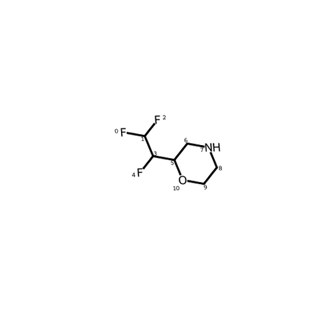 FC(F)C(F)C1CNCCO1